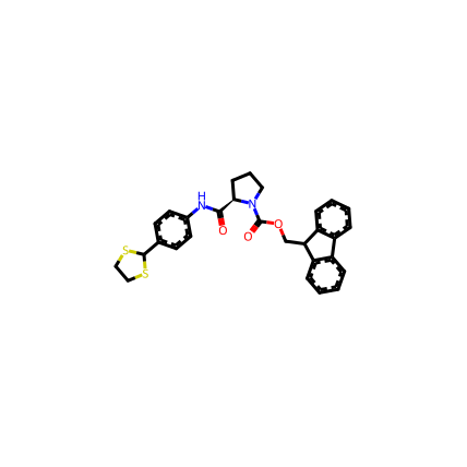 O=C(Nc1ccc(C2SCCS2)cc1)[C@H]1CCCN1C(=O)OCC1c2ccccc2-c2ccccc21